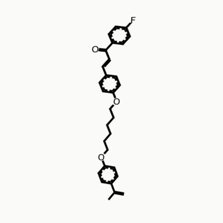 C=C(C)c1ccc(OCCCCCCOc2ccc(C=CC(=O)c3ccc(F)cc3)cc2)cc1